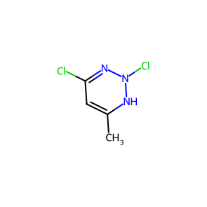 CC1=CC(Cl)=NN(Cl)N1